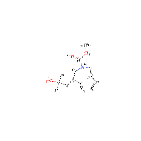 CC(C)(O)CC1/C=C/C=C\C=C\N(C(=O)OC(C)(C)C)C1